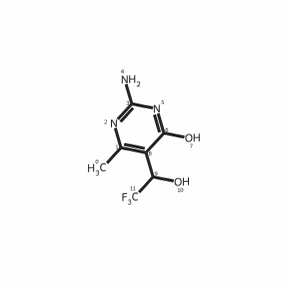 Cc1nc(N)nc(O)c1C(O)C(F)(F)F